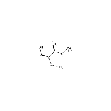 CO[C@@H](CO)[C@@H](C)OC